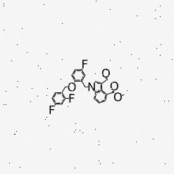 COC(=O)c1cccc2c1c(C=O)cn2Cc1cc(F)ccc1OCc1ccc(F)cc1F